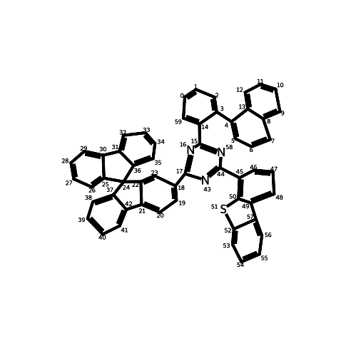 c1ccc(-c2cccc3ccccc23)c(-c2nc(-c3ccc4c(c3)C3(c5ccccc5-c5ccccc53)c3ccccc3-4)nc(-c3cccc4c3sc3ccccc34)n2)c1